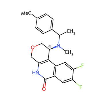 COc1ccc(C(C)N(C)[C@@H]2COCc3[nH]c(=O)c4cc(F)c(F)cc4c32)cc1